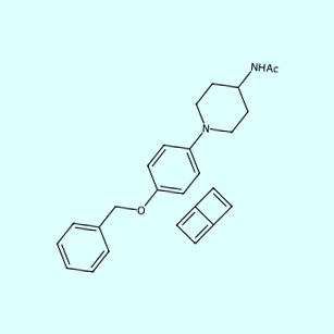 CC(=O)NC1CCN(c2ccc(OCc3ccccc3)cc2)CC1.c1cc2ccc1-2